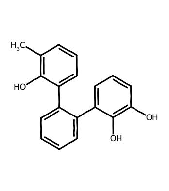 Cc1cccc(-c2ccccc2-c2cccc(O)c2O)c1O